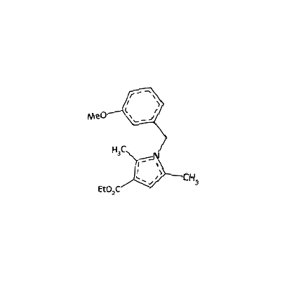 CCOC(=O)c1cc(C)n(Cc2cccc(OC)c2)c1C